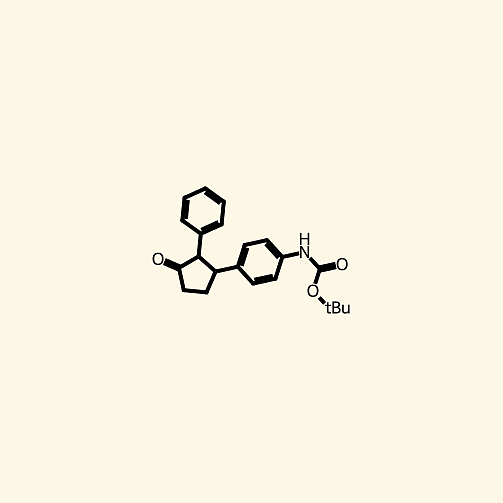 CC(C)(C)OC(=O)Nc1ccc(C2CCC(=O)C2c2ccccc2)cc1